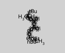 CCCCC(C)(CC)c1ccc(C(=O)c2ccc(Oc3ccc(N(c4ccccc4)c4ccc(N(c5ccccc5)c5ccc(OC(C)(C)CCCC(C)(C)C)cc5)cc4)cc3)cc2)cc1